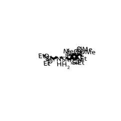 CCO[Si](C)(CCCNC[SiH2]CCc1c([SiH](C)C)cc(C(C)[Si](OC)(OC)OC)c(N(CC)CC)c1[SiH](C)C)OCC